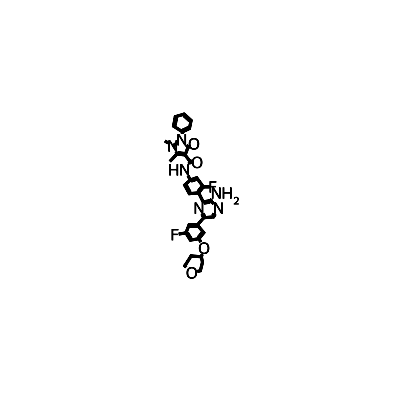 Cc1c(C(=O)Nc2ccc(-c3nc(-c4cc(F)cc(OC5CCOCC5)c4)cnc3N)c(F)c2)c(=O)n(-c2ccccc2)n1C